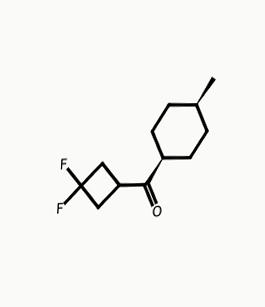 C[C@H]1CC[C@@H](C(=O)C2CC(F)(F)C2)CC1